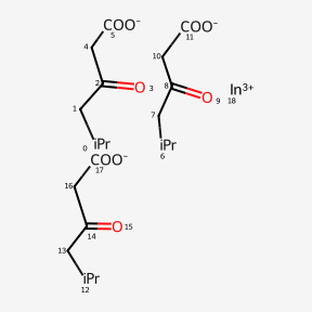 CC(C)CC(=O)CC(=O)[O-].CC(C)CC(=O)CC(=O)[O-].CC(C)CC(=O)CC(=O)[O-].[In+3]